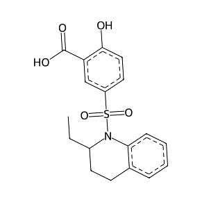 CCC1CCc2ccccc2N1S(=O)(=O)c1ccc(O)c(C(=O)O)c1